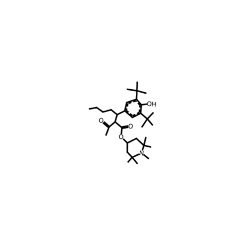 CCCCC(c1cc(C(C)(C)C)c(O)c(C(C)(C)C)c1)C(C(C)=O)C(=O)OC1CC(C)(C)N(C)C(C)(C)C1